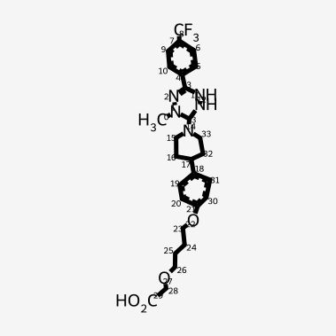 CN1N=C(c2ccc(C(F)(F)F)cc2)NNC1N1CCC(c2ccc(OCCCCOCC(=O)O)cc2)CC1